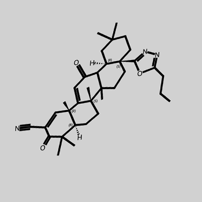 CCCc1nnc([C@]23CCC(C)(C)C[C@@H]2C2C(=O)C=C4[C@@]5(C)C=C(C#N)C(=O)C(C)(C)[C@@H]5CC[C@@]4(C)C2(C)CC3)o1